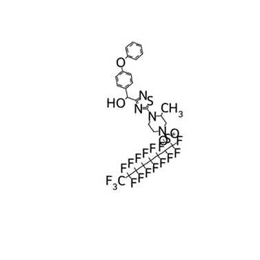 CC1CN(S(=O)(=O)C(F)(F)C(F)(F)C(F)(F)C(F)(F)C(F)(F)C(F)(F)C(F)(F)C(F)(F)F)CCN1c1nc(C(O)c2ccc(Oc3ccccc3)cc2)ns1